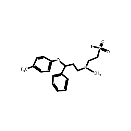 CN(CCC(Oc1ccc(C(F)(F)F)cc1)c1ccccc1)CCS(=O)(=O)F